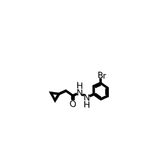 O=C(CC1CC1)NNc1cccc(Br)c1